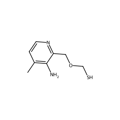 Cc1ccnc(COCS)c1N